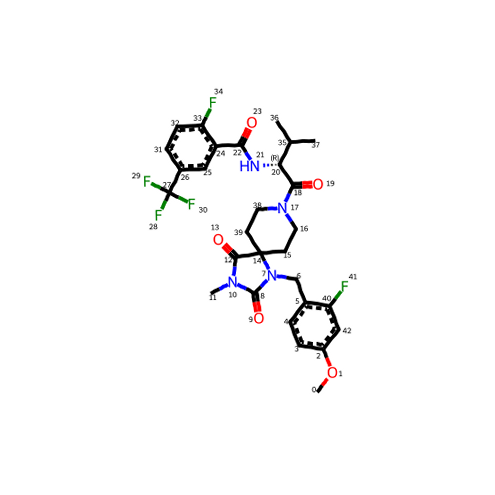 COc1ccc(CN2C(=O)N(C)C(=O)C23CCN(C(=O)[C@H](NC(=O)c2cc(C(F)(F)F)ccc2F)C(C)C)CC3)c(F)c1